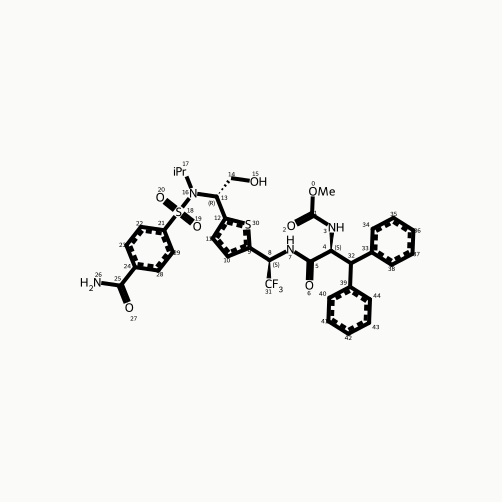 COC(=O)N[C@H](C(=O)N[C@H](c1ccc([C@@H](CO)N(C(C)C)S(=O)(=O)c2ccc(C(N)=O)cc2)s1)C(F)(F)F)C(c1ccccc1)c1ccccc1